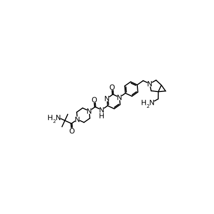 CC(C)(N)C(=O)N1CCN(C(=O)Nc2ccn(-c3ccc(CN4CC5CC5(CN)C4)cc3)c(=O)n2)CC1